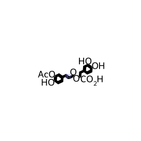 CC(=O)Oc1cc(/C=C/C(=O)OC(Cc2ccc(O)c(O)c2)C(=O)O)ccc1O